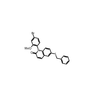 COc1cc(Br)ccc1-n1c(=O)ccc2cc(SCc3ccccc3)ccc21